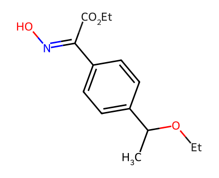 CCOC(=O)C(=NO)c1ccc(C(C)OCC)cc1